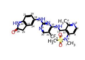 Cc1nccc(N(C)S(C)(=O)=O)c1CNc1nc(Nc2ccc3c(c2)CC(=O)N3)ncc1C(F)(F)F